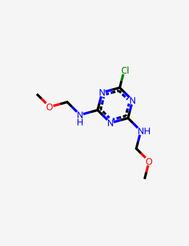 COCNc1nc(Cl)nc(NCOC)n1